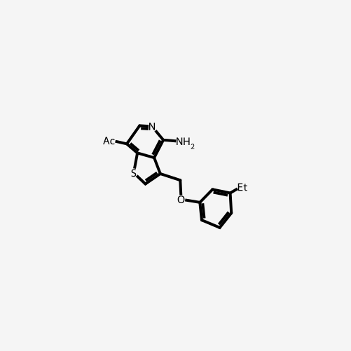 CCc1cccc(OCc2csc3c(C(C)=O)cnc(N)c23)c1